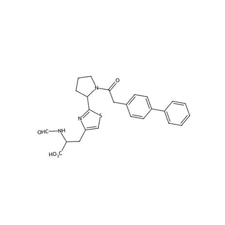 O=CNC(Cc1csc(C2CCCN2C(=O)Cc2ccc(-c3ccccc3)cc2)n1)C(=O)O